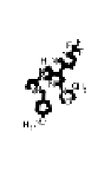 COc1ccc(Cn2nccc2-n2ncc3c(-c4ccc(C(F)(F)F)nc4N)cc(N4CCOC[C@H]4C)nc32)cc1